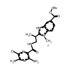 CCCCOC(=O)c1ccc2c(c1)[nH]c(C(C)CNC(=O)c1nc(Cl)c(N)nc1N)[n+]2C.[I-]